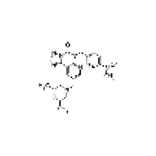 CC1CN(Cc2cnc3c(c2)c2ncnn2c(=O)n3Cc2ccc([S+](C)[O-])cc2)CC(C)O1